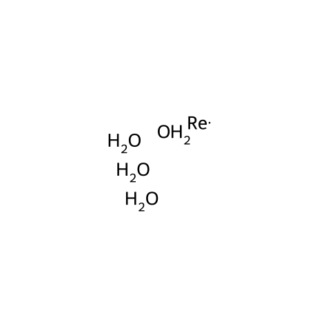 O.O.O.O.[Re]